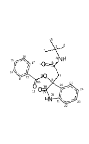 CC(C)(C)NC(=O)CC1(OC(=O)c2ccccc2)C(=O)Nc2ccccc21